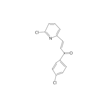 O=C(/C=C/c1cccc(Cl)n1)c1ccc(Cl)cc1